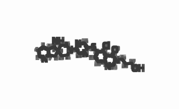 N[C@@H]1c2cccnc2CC12CCN(c1cnc(Sc3ccc4ncn(CCCO)c(=O)c4c3Cl)cn1)CC2